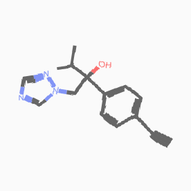 C#Cc1ccc(C(O)(Cn2cncn2)C(C)C)cc1